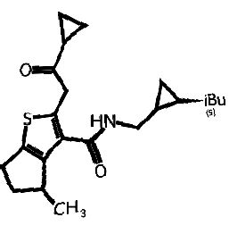 CC[C@H](C)C1CC1CNC(=O)c1c(CC(=O)C2CC2)sc2c1C(C)CC2